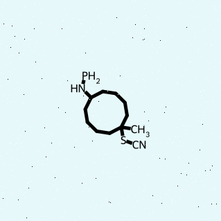 CC1(SC#N)CCCCC(NP)CCCC1